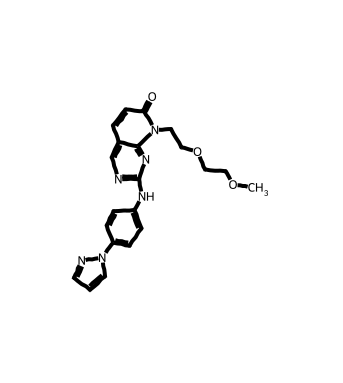 COCCOCCn1c(=O)ccc2cnc(Nc3ccc(-n4cccn4)cc3)nc21